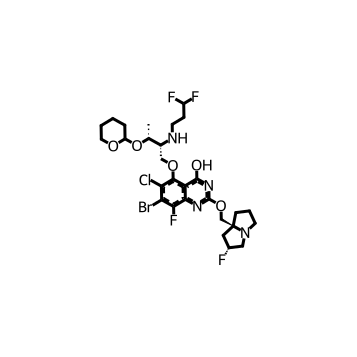 C[C@@H](OC1CCCCO1)[C@@H](COc1c(Cl)c(Br)c(F)c2nc(OC[C@@]34CCCN3C[C@H](F)C4)nc(O)c12)NCCC(F)F